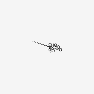 CCCCCCCCCCCC(=O)OCC(OC(C)=O)C1=CC(=O)OC1O